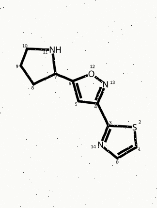 c1csc(-c2cc(C3CCCN3)on2)n1